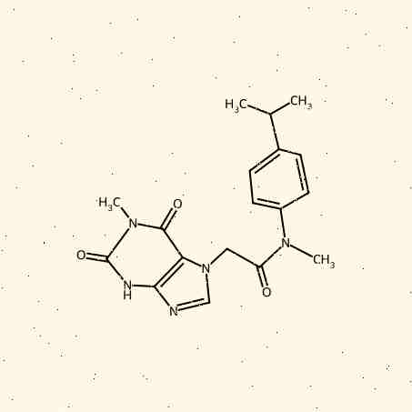 CC(C)c1ccc(N(C)C(=O)Cn2cnc3[nH]c(=O)n(C)c(=O)c32)cc1